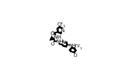 O=C(NC1(C(=O)NCc2ccc(Nc3ccc(Cl)cc3C(F)(F)F)cn2)CC1)c1cncc(C(F)(F)F)c1